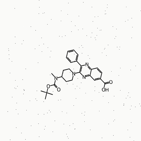 CN(C(=O)OC(C)(C)C)C1CCN(c2nc3cc(C(=O)O)ccc3nc2-c2ccccc2)CC1